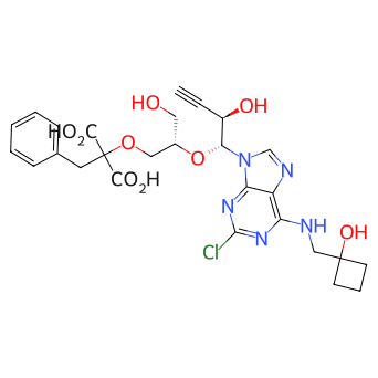 C#C[C@@H](O)[C@@H](O[C@@H](CO)COC(Cc1ccccc1)(C(=O)O)C(=O)O)n1cnc2c(NCC3(O)CCC3)nc(Cl)nc21